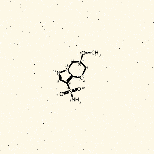 CO[C@H]1COc2c(S(N)(=O)=O)cnn2C1